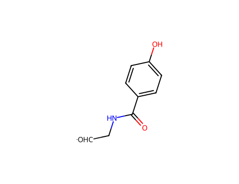 O=[C]CNC(=O)c1ccc(O)cc1